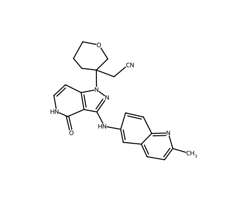 Cc1ccc2cc(Nc3nn(C4(CC#N)CCCOC4)c4cc[nH]c(=O)c34)ccc2n1